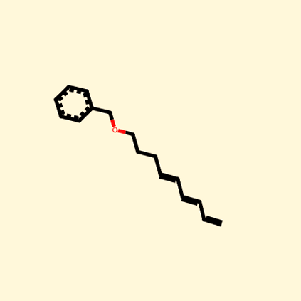 C=CC=CC=CCCCOCc1ccccc1